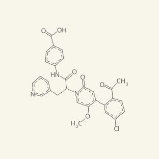 COc1cn(C(Cc2cccnc2)C(=O)Nc2ccc(C(=O)O)cc2)c(=O)cc1-c1cc(Cl)ccc1C(C)=O